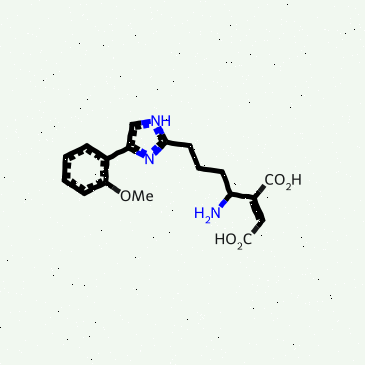 COc1ccccc1-c1c[nH]c(CCCC(N)/C(=C\C(=O)O)C(=O)O)n1